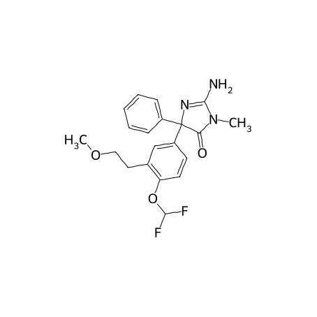 COCCc1cc(C2(c3ccccc3)N=C(N)N(C)C2=O)ccc1OC(F)F